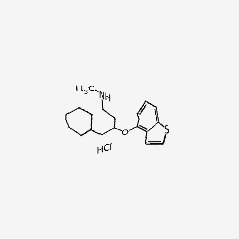 CNCCC(CC1CCCCC1)Oc1cccc2sccc12.Cl